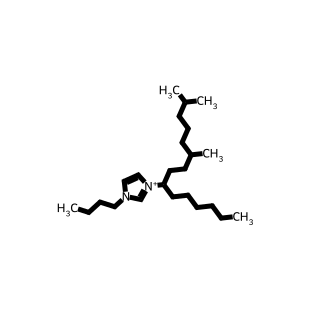 CCCCCCC(CCC(C)CCCC(C)C)[n+]1ccn(CCCC)c1